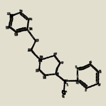 [O-][S+](c1ccccc1)C1CCN(CCc2ccncc2)CC1